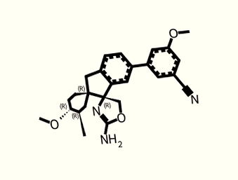 COc1cc(C#N)cc(-c2ccc3c(c2)[C@@]2(COC(N)=N2)[C@@]2(CC[C@@H](OC)[C@H](C)C2)C3)c1